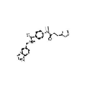 O=C(CCC1CCCC1)Nc1ccc(C(=O)NCc2ccc3nccn3c2)cc1